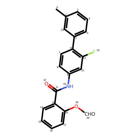 Cc1cccc(-c2ccc(NC(=O)c3ccccc3OC=O)cc2F)c1